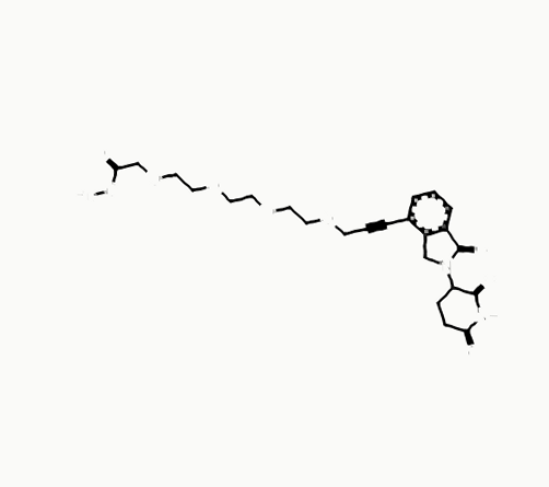 CC(C)(C)OC(=O)COCCOCCOCCOCC#Cc1cccc2c1CN(C1CCC(=O)NC1=O)C2=O